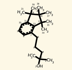 CC(C)(O)CCCc1cccc2c1C(C)(C)C(C)(C)C2(C)C